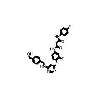 O=C(CC(=O)Nc1ccc(Oc2cc(NCc3ccc(CO)cc3)ncn2)c(F)c1)Nc1ccc(F)cc1